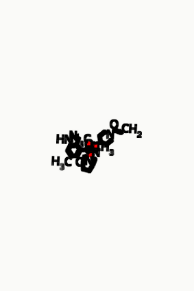 C=CC(=O)N1CCC(n2nc(N3C4CCC3CN(C(C)=O)C4)c(-c3c(Cl)c(C)cc4[nH]ncc34)c2C)CC1